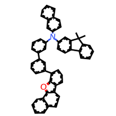 CC1(C)c2ccccc2-c2ccc(N(c3cccc(-c4cccc(-c5cccc6c5oc5c7ccccc7ccc65)c4)c3)c3ccc4ccccc4c3)cc21